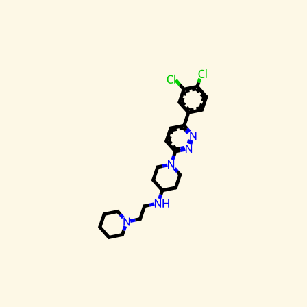 Clc1ccc(-c2ccc(N3CCC(NCCN4CCCCC4)CC3)nn2)cc1Cl